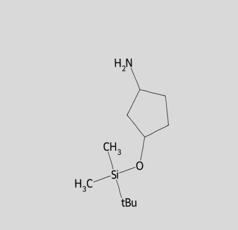 CC(C)(C)[Si](C)(C)OC1CCC(N)C1